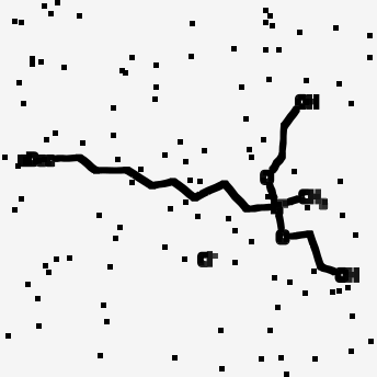 CCCCCCCCCCCCCCCCCC[N+](C)(OCCO)OCCO.[Cl-]